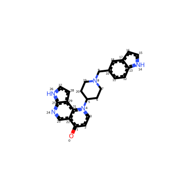 O=c1ccn(C2CCN(Cc3ccc4[nH]ccc4c3)CC2)c2c1cnc1[nH]ccc12